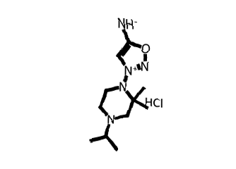 CC(C)N1CCN([n+]2cc([NH-])on2)C(C)(C)C1.Cl